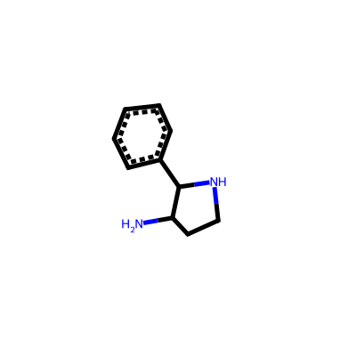 NC1CCNC1c1ccccc1